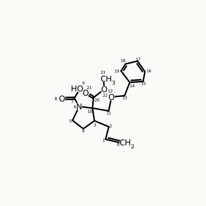 C=CCC1CCN(C(=O)O)C1(COCc1ccccc1)C(=O)OC